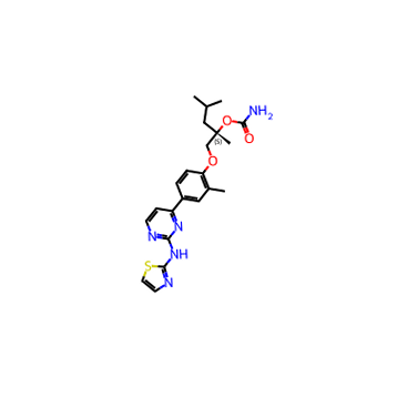 Cc1cc(-c2ccnc(Nc3nccs3)n2)ccc1OC[C@](C)(CC(C)C)OC(N)=O